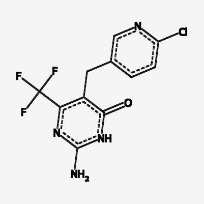 Nc1nc(C(F)(F)F)c(Cc2ccc(Cl)nc2)c(=O)[nH]1